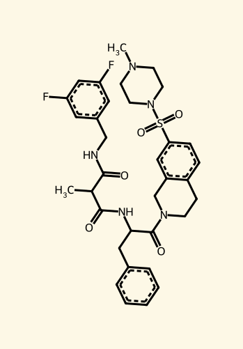 CC(C(=O)NCc1cc(F)cc(F)c1)C(=O)NC(Cc1ccccc1)C(=O)N1CCc2ccc(S(=O)(=O)N3CCN(C)CC3)cc2C1